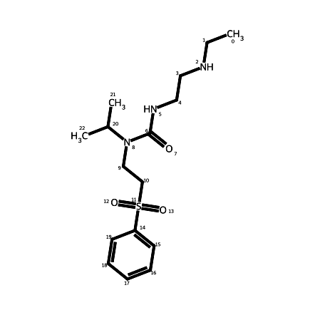 CCNCCNC(=O)N(CCS(=O)(=O)c1ccccc1)C(C)C